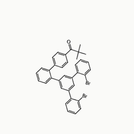 CC(C)(C)C(=O)c1ccc(-c2ccccc2-c2cc(-c3ccccc3Br)cc(-c3ccccc3Br)c2)cc1